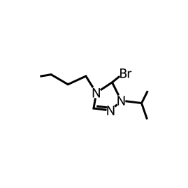 CCCCN1C=NN(C(C)C)C1Br